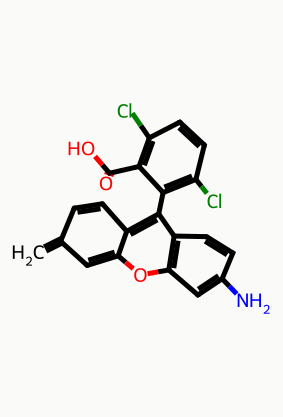 C=c1ccc2c(c1)Oc1cc(N)ccc1C=2c1c(Cl)ccc(Cl)c1C(=O)O